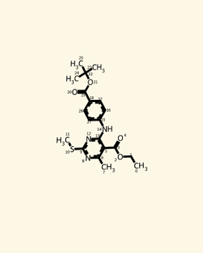 CCOC(=O)c1c(C)nc(SC)nc1Nc1ccc(C(=O)OC(C)(C)C)cc1